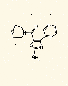 Nc1nc(-c2ccccc2)c(C(=O)N2CCOCC2)s1